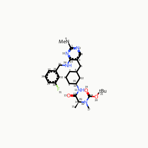 CNc1ncc(CC2CCC[C@H](NC(=O)[C@H](C)N(C)C(=O)OC(C)(C)C)C2)c(NCc2cccc(F)c2)n1